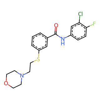 O=C(Nc1ccc(F)c(Cl)c1)c1cccc(SCCN2CCOCC2)c1